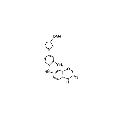 COC1CCN(c2ccc(Nc3ccc4c(c3)OCC(=O)N4)c(C)c2)C1